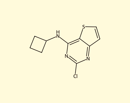 Clc1nc(NC2CCC2)c2sccc2n1